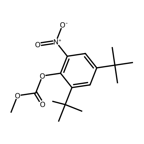 COC(=O)Oc1c([N+](=O)[O-])cc(C(C)(C)C)cc1C(C)(C)C